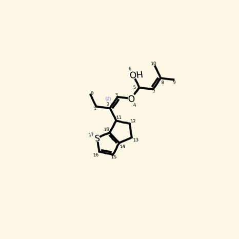 CC/C(=C/OC(O)C=C(C)C)C1CCc2ccsc21